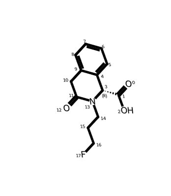 O=C(O)[C@H]1c2ccccc2CC(=O)N1CCCF